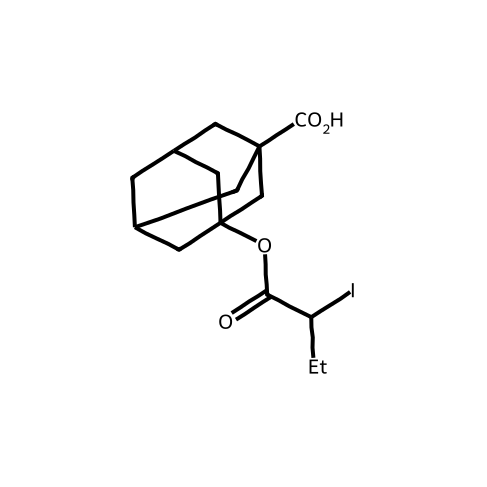 CCC(I)C(=O)OC12CC3CC(C1)CC(C(=O)O)(C3)C2